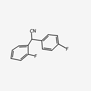 N#CC(c1ccc(F)cc1)c1ccccc1F